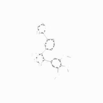 COc1cc(-c2nn[nH]c2-c2cccc(-c3ncco3)c2)cc(OC)c1OC